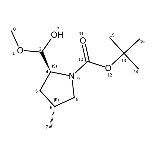 COC(O)[C@@H]1C[C@@H](C)CN1C(=O)OC(C)(C)C